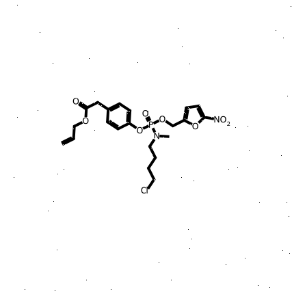 C=CCOC(=O)Cc1ccc(OP(=O)(OCc2ccc([N+](=O)[O-])o2)N(C)CCCCCl)cc1